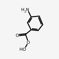 Nc1cccc(C(=O)OO)c1